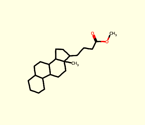 COC(=O)CCCC1CCC2C3CCC4CCCCC4C3CCC12C